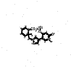 CCOc1cc(=O)n(C)cc1-c1cnn(CC2(C)C=CC=CC2C(=O)O)c1